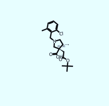 Cc1cccc(Cl)c1CN1C[C@H](C)[C@](CC(=O)OC(C)(C)C)(C(=O)O)C1